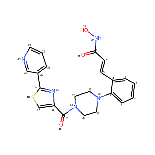 O=C(C=Cc1ccccc1N1CCN(C(=O)c2csc(-c3cccnc3)n2)CC1)NO